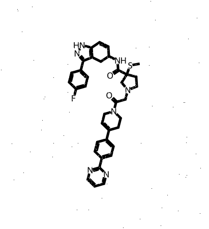 CSC1(C(=O)NC2C=Cc3[nH]nc(-c4ccc(F)cc4)c3C2)CCN(CC(=O)N2CC=C(c3ccc(-c4ncccn4)cc3)CC2)C1